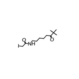 CC(C)(C)C(=O)CCCCCNC(=O)CI